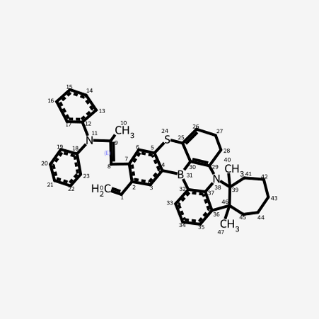 C=Cc1cc2c(cc1/C=C(\C)N(c1ccccc1)c1ccccc1)SC1=CCCC3=C1B2c1cccc2c1N3C1(C)CCCCCC21C